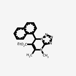 CCOC(=O)C1=C(C)N(C)c2nnnn2C1c1cccc2ccccc12